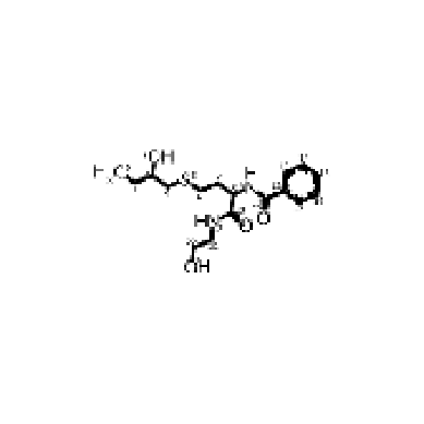 CCC(O)CSCCC(NC(=O)c1ccccc1)C(=O)NCCO